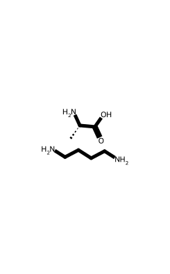 C[C@H](N)C(=O)O.NCCCCN